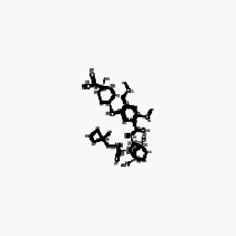 COCc1cc(OC)c(C(=O)N[C@@H]2[C@H]3CC[C@H](C3)[C@@H]2C(=O)NCC2(C)CCC2)cc1O[C@H]1CC[C@@](C)(C(=O)O)CC1